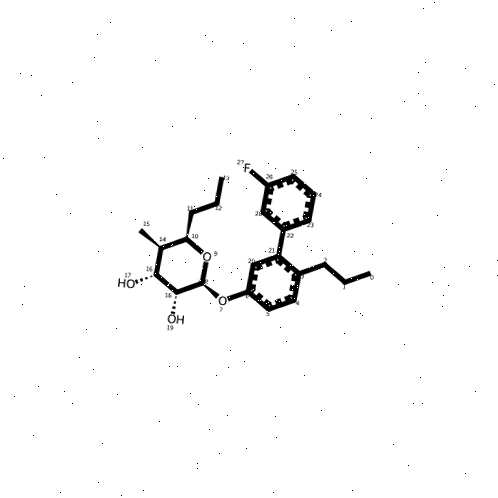 CCCc1ccc(O[C@@H]2O[C@H](CCC)[C@H](C)[C@@H](O)[C@H]2O)cc1-c1cccc(F)c1